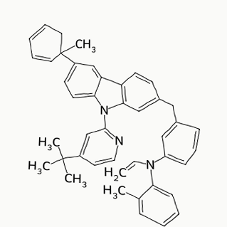 C=CN(c1cccc(Cc2ccc3c4cc(C5(C)C=CC=CC5)ccc4n(-c4cc(C(C)(C)C)ccn4)c3c2)c1)c1ccccc1C